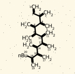 C=CC(=C)C(=C)C(=C)C(=C)C(=C)C(=C)C(=C)C(=C)C(=C)CCCC